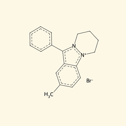 Cc1ccc2c(c1)c(-c1ccccc1)n1[n+]2CCCC1.[Br-]